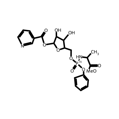 COC(=O)C(C)N[P@](=O)(OCC1OC(OC(=O)c2cccnc2)C(O)C1O)Oc1ccccc1